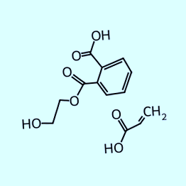 C=CC(=O)O.O=C(O)c1ccccc1C(=O)OCCO